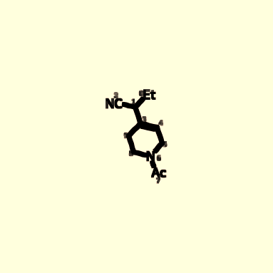 CCC(C#N)C1=CCN(C(C)=O)CC1